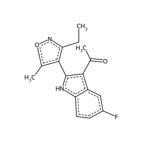 CCc1noc(C)c1-c1[nH]c2ccc(F)cc2c1C(C)=O